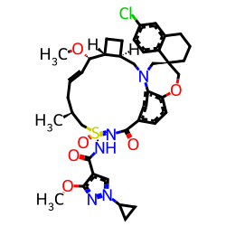 COc1nn(C2CC2)cc1C(=O)N[S@@]1(=O)=NC(=O)c2ccc3c(c2)N(C[C@@H]2CC[C@H]2[C@@H](OC)/C=C/C[C@H](C)C1)C[C@@]1(CCCc2cc(Cl)ccc21)CO3